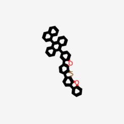 c1ccc2c(-c3c4ccccc4c(-c4ccc5oc6c(ccc7c8ccc9c%10ccccc%10oc9c8sc76)c5c4)c4ccccc34)cccc2c1